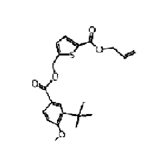 C=CCOC(=O)c1ccc(COC(=O)c2ccc(OC)c(C(C)(C)C)c2)s1